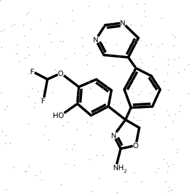 NC1=NC(c2cccc(-c3cncnc3)c2)(c2ccc(OC(F)F)c(O)c2)CO1